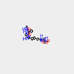 COC(=O)N[C@H](C(=O)N1CCC[C@H]1c1ncc(-c2ccc(-c3ccc4cc(-c5c[nH]c([C@@H]6CCCN6C(=O)[C@H](NC(=O)NC6CC6)c6ccccc6)n5)ccc4c3)cc2)[nH]1)C(C)C